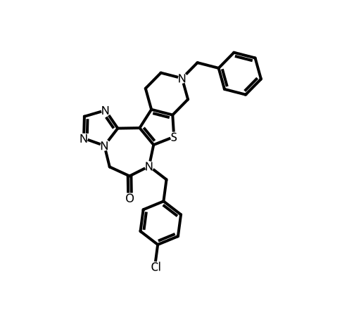 O=C1Cn2ncnc2-c2c(sc3c2CCN(Cc2ccccc2)C3)N1Cc1ccc(Cl)cc1